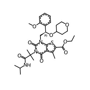 CCOC(=O)c1sc2c(c1C)c(=O)n(C(C)(C)C(=O)NC(C)C)c(=O)n2C[C@H](OC1CCOCC1)c1ccccc1OC